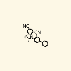 Cc1cc(-c2ccccc2)ccc1N1c2c(C#N)cc(C#N)cc2N(C)[C@@H]1C